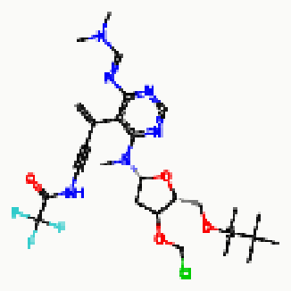 C=C(C#CNC(=O)C(F)(F)F)c1c(/N=C/N(C)C)ncnc1N(C)[C@H]1CC(OCCl)[C@@H](CO[Si](C)(C)C(C)(C)C)O1